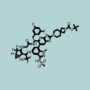 Cn1nc(NS(C)(=O)=O)c2cccc(-c3cc4sc(N5CCC6(CC5)CN(C(=O)OC(C)(C)C)C6)nc4nc3[C@H](Cc3cc(F)cc(F)c3)NC(=O)CNC3=C(C(=N)C(F)(F)F)[C@H]4C[C@H]4C3(F)F)c21